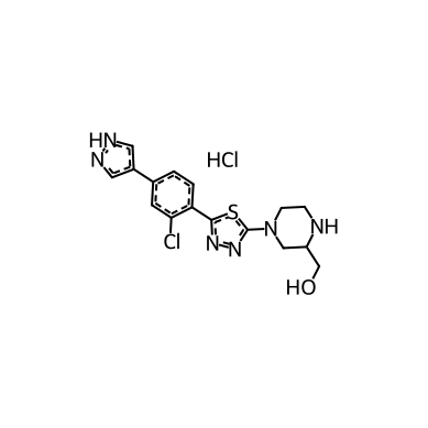 Cl.OCC1CN(c2nnc(-c3ccc(-c4cn[nH]c4)cc3Cl)s2)CCN1